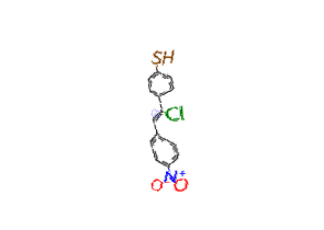 O=[N+]([O-])c1ccc(/C=C(\Cl)c2ccc(S)cc2)cc1